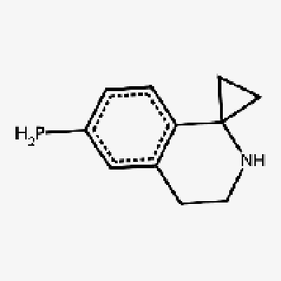 Pc1ccc2c(c1)CCNC21CC1